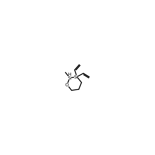 C=C[Si]1(C=C)CCCO[SiH]1C